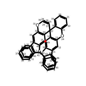 c1ccc(-n2c3ccccc3c3cc4c(cc32)C2(c3ccccc3O4)c3ccccc3Oc3cc4c5ccccc5n(-c5ccccc5)c4cc32)cc1